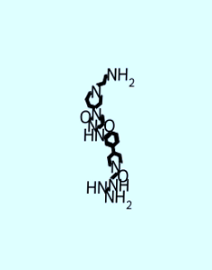 N=C(N)NCC(=O)N1CCC(c2ccc3c(c2)Nc2nc(=O)n(C4CCCN(CCCN)CC4)cc2O3)CC1